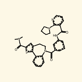 CN(C)C(=O)c1cc2c(s1)-c1ccccc1N(C(=O)c1cccc(NC(=O)c3cccnc3N3CCCC3)c1)CC2